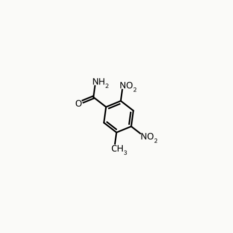 Cc1cc(C(N)=O)c([N+](=O)[O-])cc1[N+](=O)[O-]